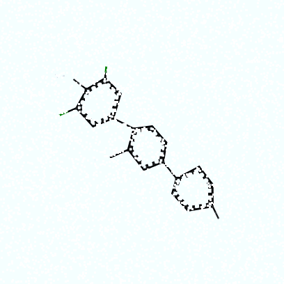 CCCc1ccc(-c2ccc(-c3cc(F)c(OC)c(F)c3)c(C)c2)cc1